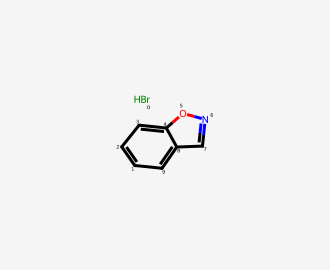 Br.c1ccc2oncc2c1